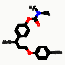 CNC(CCOc1ccc(SC)cc1)c1ccc(OC(=O)N(C)C)cc1